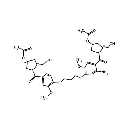 COc1cc(C(=O)N2C[C@H](OC(C)=O)C[C@H]2CO)ccc1OCCCOc1cc(N)c(C(=O)N2CC(OC(C)=O)C[C@H]2CO)cc1OC